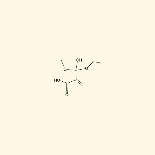 C=C(C(=O)O)C(O)(OCC)OCC